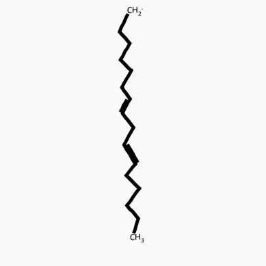 [CH2]CCCCC/C=C/C/C=C/CCCCC